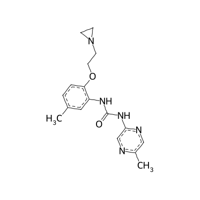 Cc1ccc(OCCN2CC2)c(NC(=O)Nc2cnc(C)cn2)c1